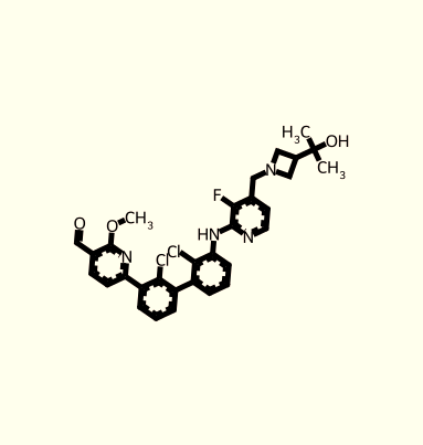 COc1nc(-c2cccc(-c3cccc(Nc4nccc(CN5CC(C(C)(C)O)C5)c4F)c3Cl)c2Cl)ccc1C=O